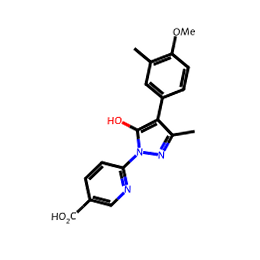 COc1ccc(-c2c(C)nn(-c3ccc(C(=O)O)cn3)c2O)cc1C